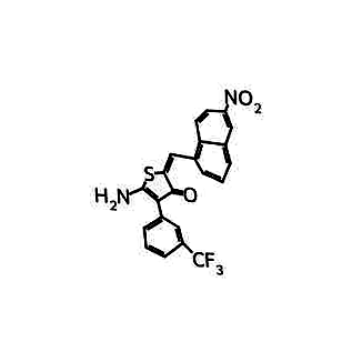 NC1=C(c2cccc(C(F)(F)F)c2)C(=O)C(=Cc2cccc3cc([N+](=O)[O-])ccc23)S1